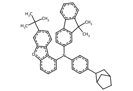 CC(C)(C)c1ccc2c(c1)oc1cccc(N(c3ccc(C4CC5CCC4C5)cc3)c3ccc4c(c3)C(C)(C)c3ccccc3-4)c12